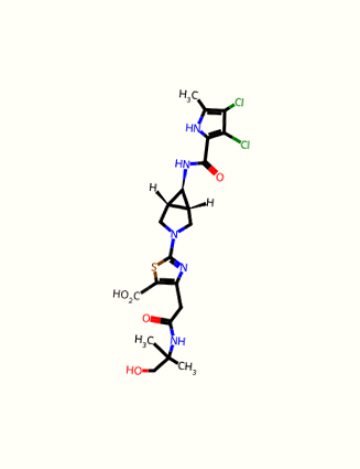 Cc1[nH]c(C(=O)N[C@H]2[C@@H]3CN(c4nc(CC(=O)NC(C)(C)CO)c(C(=O)O)s4)C[C@@H]32)c(Cl)c1Cl